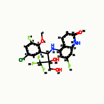 COc1c(F)cc(Cl)cc1C(Nc1cc(F)cc2[nH]c(=O)ccc12)C(O)(CO)C(F)(F)F